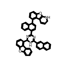 C1=Cc2c(oc3cccc(-c4ccc(C5=NC(c6cccc7oc8ccccc8c67)NC(c6ccc7ccccc7c6)=N5)c5ccccc45)c23)NC1